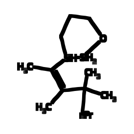 CCCC(C)(C)C(C)=C(C)[SiH]1CCCO[SiH2]1